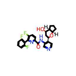 O=C(Nc1cnccc1[C@H]1C[C@@H](O)[C@H]2CCC[C@H]2O1)c1ccc(F)c(-c2c(F)cccc2F)n1